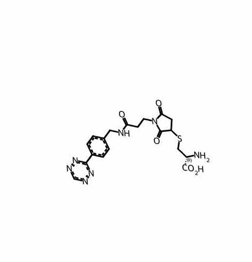 N[C@@H](CSC1CC(=O)N(CCC(=O)NCc2ccc(-c3nncnn3)cc2)C1=O)C(=O)O